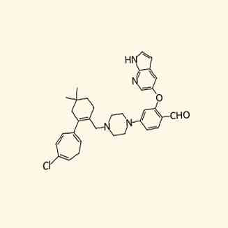 CC1(C)CCC(CN2CCN(c3ccc(C=O)c(Oc4cnc5[nH]ccc5c4)c3)CC2)=C(C2=CCC=C(Cl)C=C2)C1